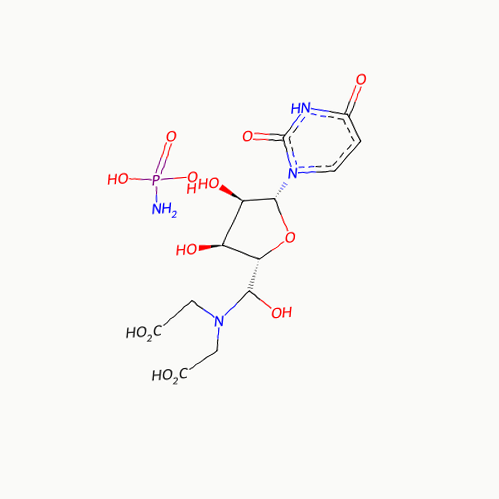 NP(=O)(O)O.O=C(O)CN(CC(=O)O)C(O)[C@H]1O[C@@H](n2ccc(=O)[nH]c2=O)[C@H](O)[C@@H]1O